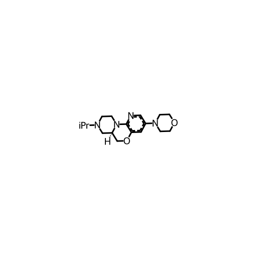 CC(C)N1CCN2c3ncc(N4CCOCC4)cc3OC[C@H]2C1